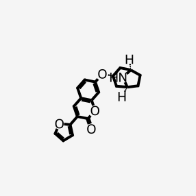 O=c1oc2cc(O[C@@H]3C[C@H]4CC[C@@H](C3)N4)ccc2cc1-c1ccco1